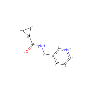 O=C(NCc1cccnc1)C1CC1